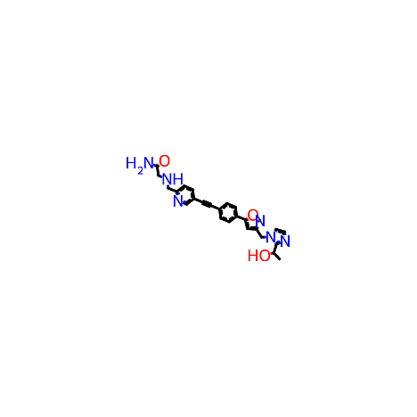 CC(O)c1nccn1Cc1cc(-c2ccc(C#Cc3ccc(CNCC(N)=O)nc3)cc2)on1